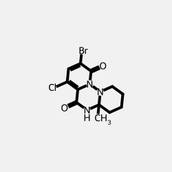 CC12CCCCN1n1c(c(Cl)cc(Br)c1=O)C(=O)N2